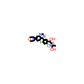 Cc1sc(C(O)c2cc(-c3ncnc4cc(N5C6CCC5COC6)ccc34)c(F)cc2Cl)nc1O